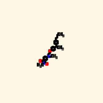 C=C(c1ccc(CCCC)cc1)c1ccc(OCCN(CC)c2ccc3c(c2)C(=O)N(C)C3=O)cc1